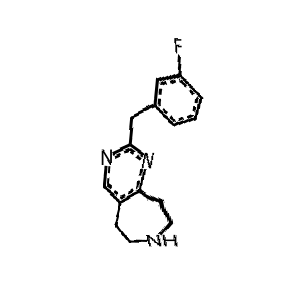 Fc1cccc(Cc2ncc3c(n2)CCNCC3)c1